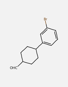 O=CC1CCC(c2cccc(Br)c2)CC1